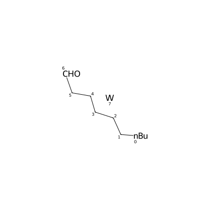 CCCCCCCCCC=O.[W]